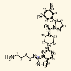 NCCCC/N=C(\N)c1nc(N2CCN(C(=O)N3N=CCC3c3cc(F)cc(F)c3)CC2)ncc1F